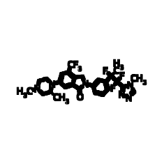 C[C@@H]1CN(C)CCN1c1cc2c(c(C(F)(F)F)c1)CN(c1cccc([C@@](C)(F)C(F)(F)c3nncn3C)c1)C2=O